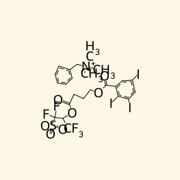 C[N+](C)(C)Cc1ccccc1.O=C(CCCOC(=O)c1cc(I)cc(I)c1I)OC(C(F)(F)F)C(F)(F)S(=O)(=O)[O-]